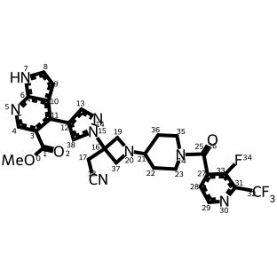 COC(=O)c1cnc2[nH]ccc2c1-c1cnn(C2(CC#N)CN(C3CCN(C(=O)c4ccnc(C(F)(F)F)c4F)CC3)C2)c1